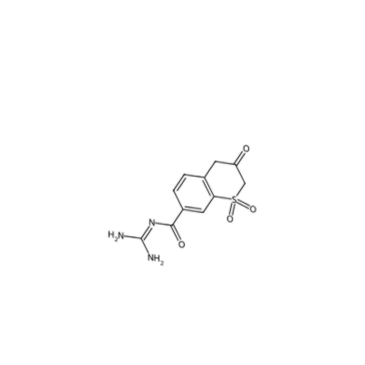 NC(N)=NC(=O)c1ccc2c(c1)S(=O)(=O)CC(=O)C2